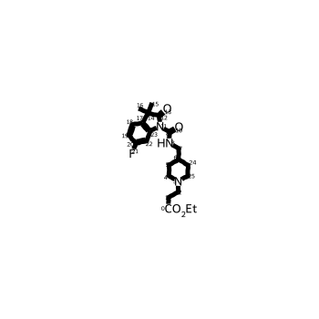 CCOC(=O)CCN1CCC(CNC(=O)N2C(=O)C(C)(C)c3ccc(F)cc32)CC1